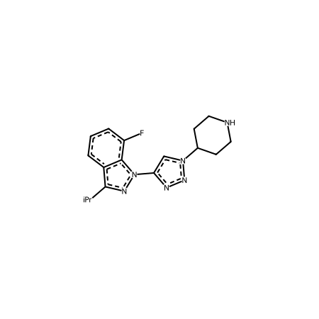 CC(C)c1nn(-c2cn(C3CCNCC3)nn2)c2c(F)cccc12